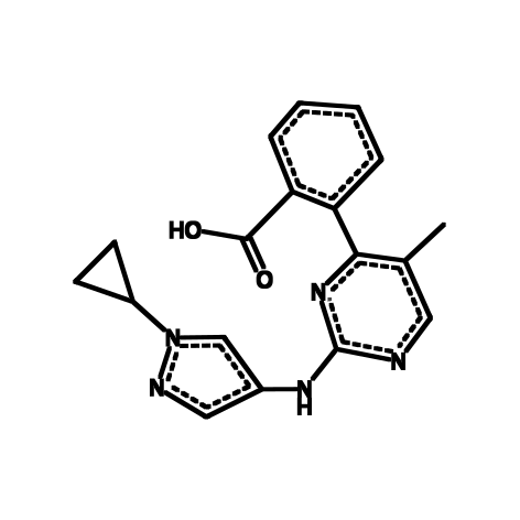 Cc1cnc(Nc2cnn(C3CC3)c2)nc1-c1ccccc1C(=O)O